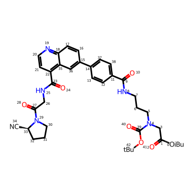 CC(C)COC(=O)CN(CCCNC(=O)c1ccc(-c2ccc3nccc(C(=O)NCC(=O)N4CCC[C@H]4C#N)c3c2)cc1)C(=O)OC(C)(C)C